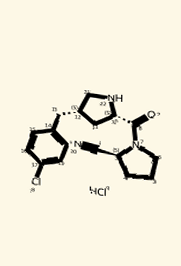 Cl.N#C[C@@H]1CCCN1C(=O)[C@@H]1C[C@H](Cc2ccc(Cl)cc2)CN1